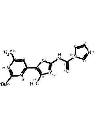 Cc1cc(-c2sc(NC(=O)n3ccnc3)nc2C)nc(C(C)(C)C)n1